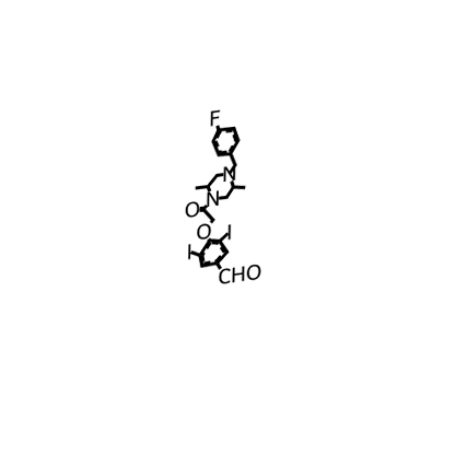 CC1CN(C(=O)COc2c(I)cc(C=O)cc2I)C(C)CN1Cc1ccc(F)cc1